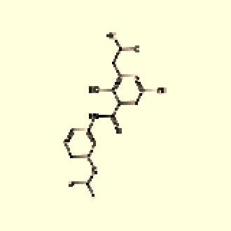 CC(=O)Oc1cccc(NC(=O)c2cc(O)cc(CC(=O)O)c2O)c1